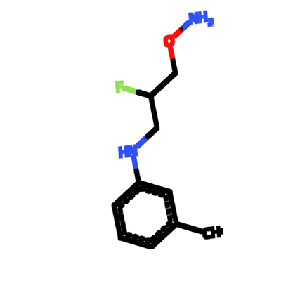 [CH]c1cccc(NCC(F)CON)c1